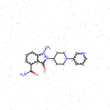 Cn1c2cccc(C(N)=O)c2c(=O)n1C1CCN(c2cccnc2)CC1